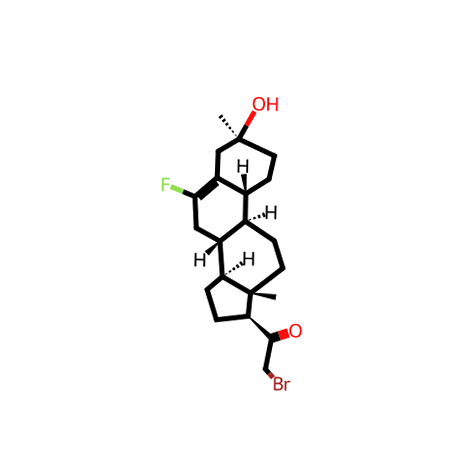 C[C@]1(O)CC[C@H]2C(=C(F)C[C@@H]3[C@@H]2CC[C@]2(C)[C@@H](C(=O)CBr)CC[C@@H]32)C1